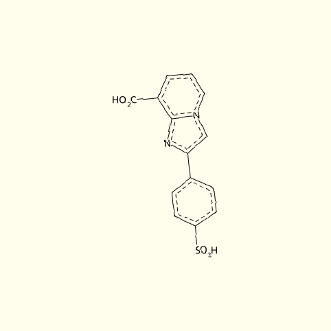 O=C(O)c1cccn2cc(-c3ccc(S(=O)(=O)O)cc3)nc12